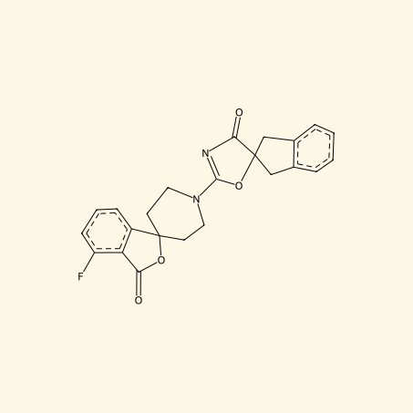 O=C1OC2(CCN(C3=NC(=O)C4(Cc5ccccc5C4)O3)CC2)c2cccc(F)c21